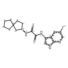 O=C(Nc1c[nH]c2ncc(F)cc12)C(=O)N[C@@H]1CCC2(CCCC2)C1